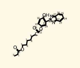 CCC(=O)OCCCCCCC(=O)Oc1ccc(O)c(-n2nc3ccccc3n2)c1